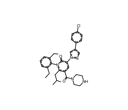 CCc1cccc(CC)c1-n1c(CC(C)C)c(C(=O)N2CCNCC2)cc(-n2cc(-c3ccc(Cl)cc3)cn2)c1=O